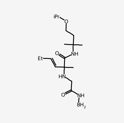 BNC(=O)CNC(C)(C=CCC)C(=O)NC(C)(C)CCOC(C)C